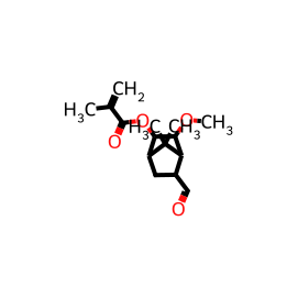 C=C(C)C(=O)OC1C(OC)C2C(C=O)CC1C2(C)C